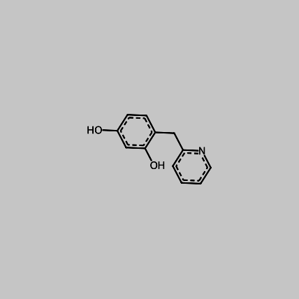 Oc1ccc(Cc2ccccn2)c(O)c1